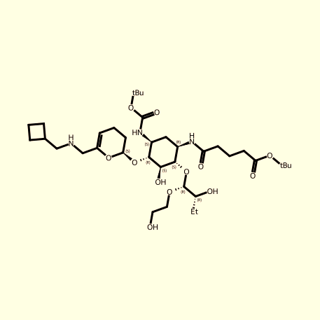 CC[C@@H](O)[C@H](OCCO)O[C@@H]1[C@@H](O)[C@H](O[C@@H]2CCC=C(CNCC3CCC3)O2)[C@@H](NC(=O)OC(C)(C)C)C[C@H]1NC(=O)CCCC(=O)OC(C)(C)C